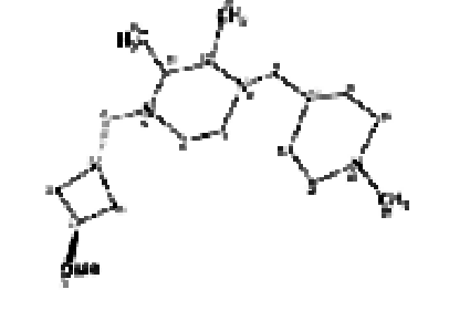 CO[C@H]1C[C@H](CN2CCN(CC3CCN(C)CC3)C(C)C2C)C1